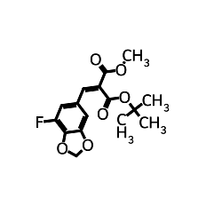 COC(=O)C(=Cc1cc(F)c2c(c1)OCO2)C(=O)OC(C)(C)C